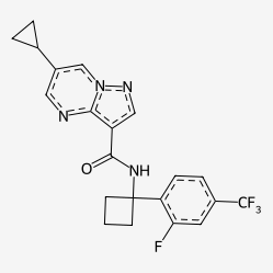 O=C(NC1(c2ccc(C(F)(F)F)cc2F)CCC1)c1cnn2cc(C3CC3)cnc12